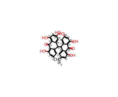 Cc1cc(O)c2c(c1)C(C1c3cc(C)cc(O)c3C(=O)c3c(O)cc(O)cc31)c1cc(O)cc(O)c1C2=O